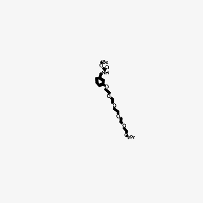 CCCOCCOCCOCCOCCOCCOc1cccc(CNC(=O)OC(C)(C)C)c1